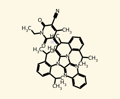 CCN1C(=O)C(C#N)=C(C)/C(=C/C=C2N(c3c(C(C)C)cccc3C(C)C)c3nc4ccccc4nc3N2c2c(C(C)C)cccc2C(C)C)C1=O